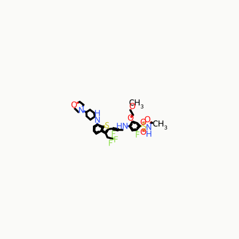 COCCOc1cc(S(=O)(=O)NC(C)=O)c(F)cc1NCC#Cc1sc2c(NC3CCC(N4CCOCC4)CC3)cccc2c1CC(F)(F)F